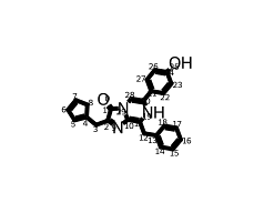 O=c1c(CC2=CC=CC2)nc2c(Cc3ccccc3)[nH]c(-c3ccc(O)cc3)cn1-2